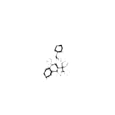 CCC1(CC)C(=O)N=C2C1=C(OCc1ccccc1)C(=O)c1ccccc12